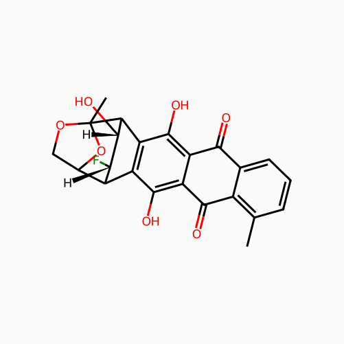 Cc1cccc2c1C(=O)c1c(O)c3c(c(O)c1C2=O)C1[C@@H](O)[C@@H](F)C3C2COC1(C)O2